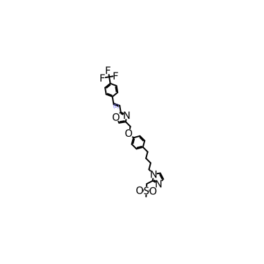 CS(=O)(=O)Cc1nccn1CCCCc1ccc(OCc2coc(/C=C/c3ccc(C(F)(F)F)cc3)n2)cc1